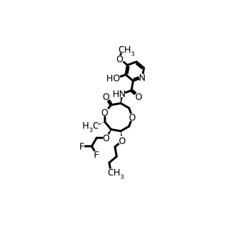 CCCCO[C@H]1COC[C@H](NC(=O)c2nccc(OC)c2O)C(=O)O[C@@H](C)[C@@H]1OCC(F)F